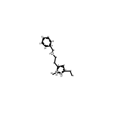 CCc1cc(CCOCc2ccccc2)n(C)n1